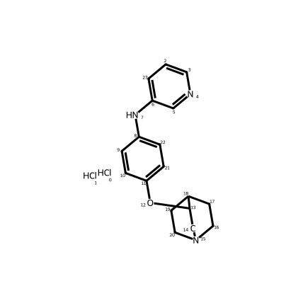 Cl.Cl.c1cncc(Nc2ccc(OC3CN4CCC3CC4)cc2)c1